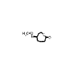 CON=C1CCCC(=O)CCC1